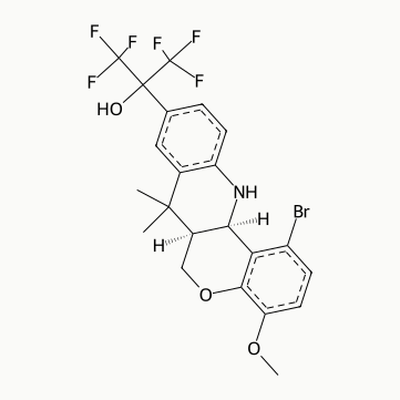 COc1ccc(Br)c2c1OC[C@@H]1[C@H]2Nc2ccc(C(O)(C(F)(F)F)C(F)(F)F)cc2C1(C)C